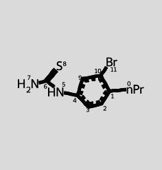 CCCc1ccc(NC(N)=S)cc1Br